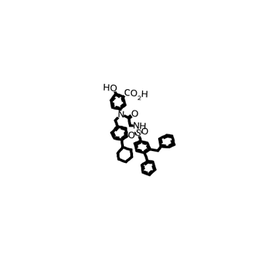 O=C(O)c1cc(N(Cc2ccc(C3CCCCC3)cc2)C(=O)CNS(=O)(=O)c2ccc(-c3ccccc3)c(Cc3ccccc3)c2)ccc1O